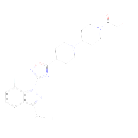 CC(C)c1nn(-c2noc(C3CCN(C4CCN(C(=O)CO)CC4)CC3)n2)c2c(F)cccc12